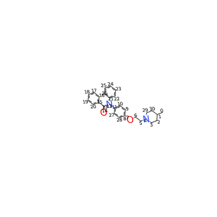 CC1CCN(CCOc2ccc(N(C(=O)c3ccccc3)c3ccccc3)cc2)CC1